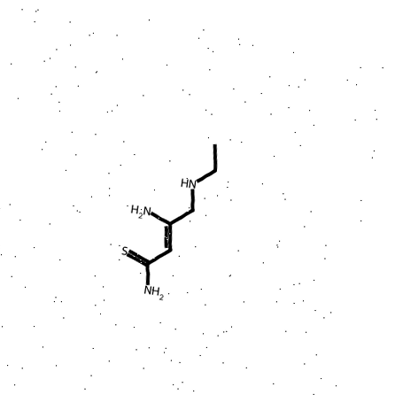 CCNCC(N)=CC(N)=S